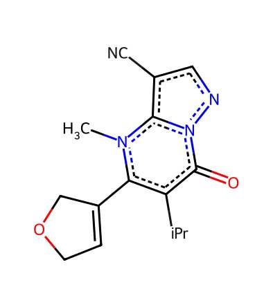 CC(C)c1c(C2=CCOC2)n(C)c2c(C#N)cnn2c1=O